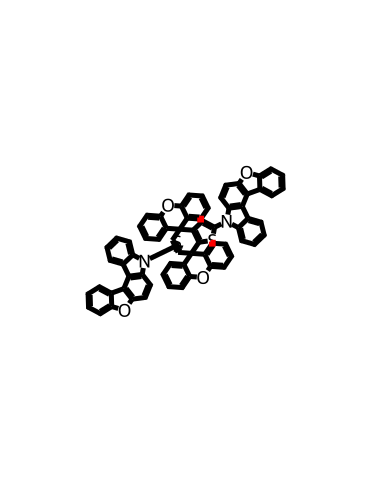 c1ccc2c(c1)Oc1ccccc1C21c2cc(-n3c4ccccc4c4c5c(ccc43)oc3ccccc35)sc2C2(c3ccccc3Oc3ccccc32)c2cc(-n3c4ccccc4c4c5c(ccc43)oc3ccccc35)sc21